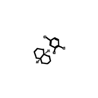 C1CC[C@H]2CCCC[C@H]2C1.Clc1ccc(Cl)c(Cl)c1